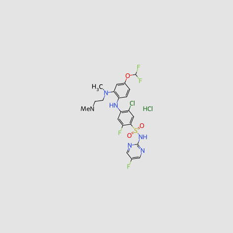 CNCCN(C)c1cc(OC(F)F)ccc1Nc1cc(F)c(S(=O)(=O)Nc2ncc(F)cn2)cc1Cl.Cl